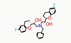 O[C@H](CN(Cc1ccccc1)C[C@H](O)[C@H]1CCc2cc(F)ccc2O1)[C@H]1CCc2cc(F)ccc2O1